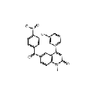 Cn1c(=O)cc(-c2cccc(Cl)c2)c2cc(C(=O)c3ccc([N+](=O)[O-])cc3)ccc21